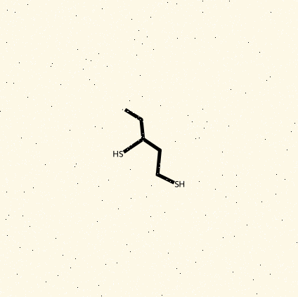 [CH2]CC(S)CCS